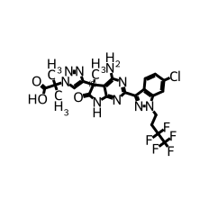 CC(C)(C(=O)O)n1cc([C@@]2(C)C(=O)Nc3nc(-c4nn(CCC(F)(F)C(F)(F)F)c5cc(Cl)ccc45)nc(N)c32)nn1